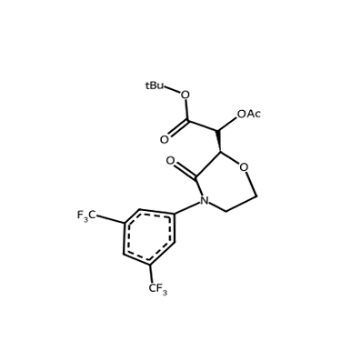 CC(=O)OC(C(=O)OC(C)(C)C)[C@H]1OCCN(c2cc(C(F)(F)F)cc(C(F)(F)F)c2)C1=O